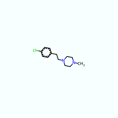 CN1CCN(CCc2ccc(Cl)cc2)CC1